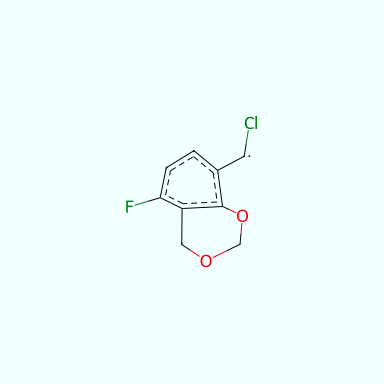 Fc1ccc([CH]Cl)c2c1COCO2